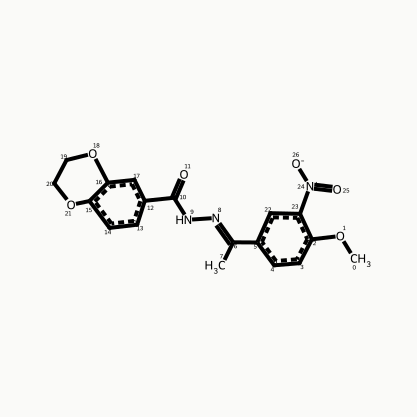 COc1ccc(/C(C)=N/NC(=O)c2ccc3c(c2)OCCO3)cc1[N+](=O)[O-]